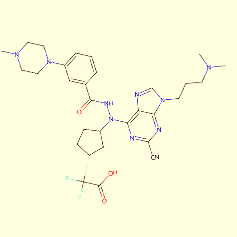 CN(C)CCCn1cnc2c(N(NC(=O)c3cccc(N4CCN(C)CC4)c3)C3CCCC3)nc(C#N)nc21.O=C(O)C(F)(F)F